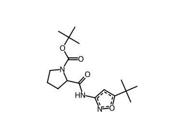 CC(C)(C)OC(=O)N1CCCC1C(=O)Nc1cc(C(C)(C)C)on1